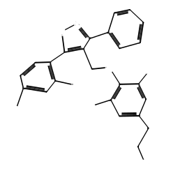 Cc1ccc(-c2snc(-c3ccccc3)c2COc2c(F)cc(CCC(=O)O)cc2F)c(F)c1